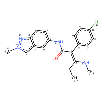 CC/C(NC)=C(\C(=O)Nc1ccc2nn(C)cc2c1)c1ccc(Cl)cc1